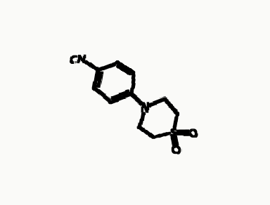 [C-]#[N+]c1ccc(N2CCS(=O)(=O)CC2)cc1